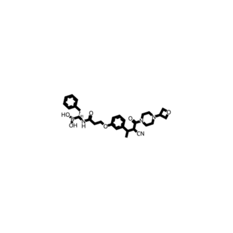 CC(c1cccc(OCCC(=O)N[C@@H](Cc2ccccc2)B(O)O)c1)C(C#N)C(=O)N1CCN(C2COC2)CC1